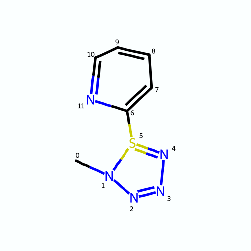 CN1N=NN=S1c1ccccn1